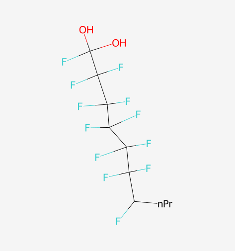 CCCC(F)C(F)(F)C(F)(F)C(F)(F)C(F)(F)C(F)(F)C(O)(O)F